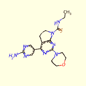 CCNC(=S)N1CCc2c(-c3cnc(N)nc3)nc(N3CCOCC3)nc21